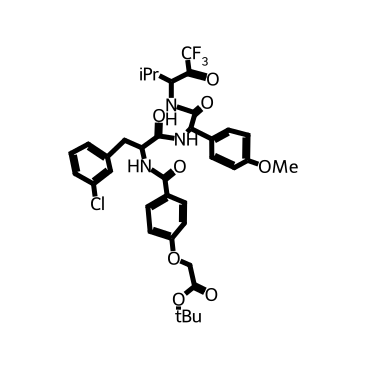 COc1ccc(C(NC(=O)C(Cc2cccc(Cl)c2)NC(=O)c2ccc(OCC(=O)OC(C)(C)C)cc2)C(=O)NC(C(=O)C(F)(F)F)C(C)C)cc1